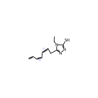 C=C/C=C\C=C/Cc1nnc(S)n1CC